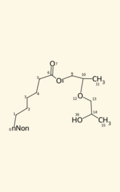 CCCCCCCCCCCCCCC(=O)OCC(C)OCC(C)O